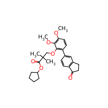 COc1ccc(-c2ccc3c(c2)CCC3=O)c(OCC(C)(C)C(=O)OC2CCCC2)c1OC